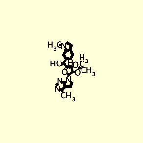 Cc1ncnc2c1ccn2[C@@H]1O[C@H]([C@H](O)c2ccc3ccn(C)c3c2)[C@H]2OC(C)(C)OC12